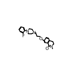 CN1CCc2ccc(OCCCN3CCN(c4ccccc4F)CC3)cc2C1=O